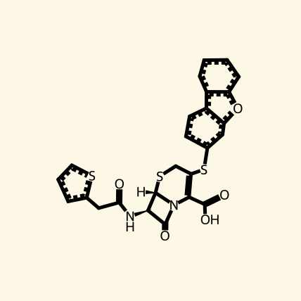 O=C(Cc1cccs1)N[C@@H]1C(=O)N2C(C(=O)O)=C(Sc3ccc4c(c3)oc3ccccc34)CS[C@@H]12